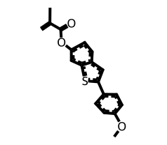 C=C(C)C(=O)Oc1ccc2cc(-c3ccc(OC)cc3)sc2c1